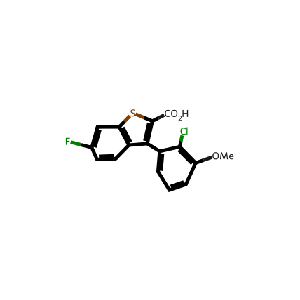 COc1cccc(-c2c(C(=O)O)sc3cc(F)ccc23)c1Cl